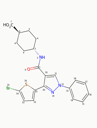 O=C(N[C@H]1CC[C@H](C(=O)O)CC1)c1cn(-c2ccccc2)nc1-c1ccc(Br)s1